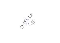 C[C@H](NC(=O)c1cc(-c2ccc(F)cc2)cc2cnn(Cc3ccc(C(F)(F)F)cc3)c12)c1ccc(C(=O)O)cc1